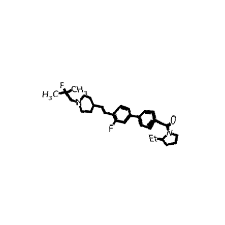 CCC1CCCN1C(=O)c1ccc(-c2ccc(CCC3CCN(CC(C)(C)F)CC3)c(F)c2)cc1